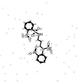 O=[N+]([O-])c1ccccc1N(CCCNS(=O)(=O)c1ccccc1[N+](=O)[O-])[SH](=O)=O